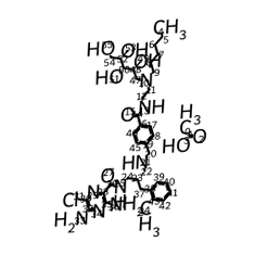 CC(=O)O.CCCCCCN(CCNC(=O)c1ccc(CNC[C@@H](CNC(=O)c2nc(Cl)c(N)nc2N)Cc2ccccc2C)cc1)C[C@H](O)[C@@H](O)[C@H](O)CO